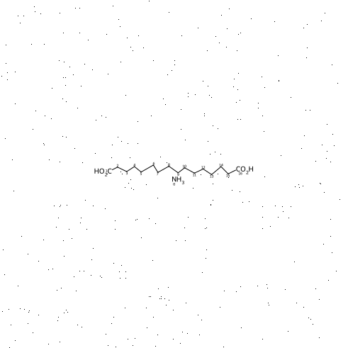 N.O=C(O)CCCCCCCCCCCCCCC(=O)O